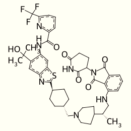 C[C@@H](CNc1cccc2c1C(=O)N(C1CCC(=O)NC1=O)C2=O)C1CCN(C[C@H]2CC[C@H](c3nc4cc(C(C)(C)O)c(NC(=O)c5cccc(C(F)(F)F)n5)cc4s3)CC2)CC1